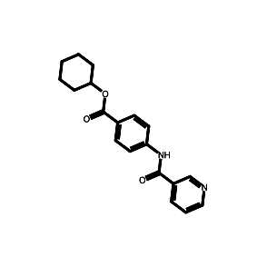 O=C(Nc1ccc(C(=O)OC2CCCCC2)cc1)c1cccnc1